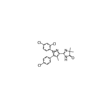 Cc1c(C2=NC(C)(C)C(=O)N2)nn(-c2ccc(Cl)cc2Cl)c1-c1ccc(Cl)cc1